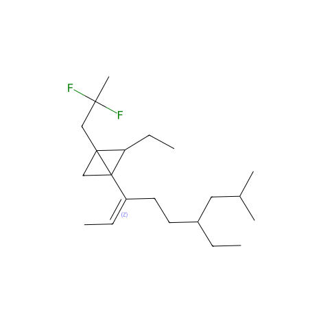 C/C=C(/CCC(CC)CC(C)C)C12CC1(CC(C)(F)F)C2CC